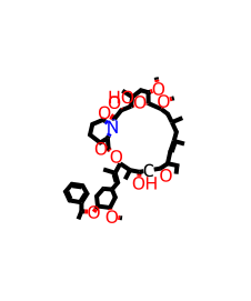 CCC1/C=C(\C)CC(C)CC(OC)C2OC(O)(C(=O)C(=O)N3CCCCC3C(=O)OC(C(C)=CC3CCC(OC(C)c4ccccc4)C(OC)C3)C(C)C(O)CC1=O)C(C)CC2OC